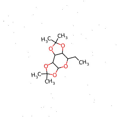 CCC1OC2OC(C)(C)OC2C2OC(C)(C)OC12